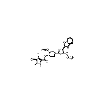 CO[C@H]1CN(c2nc(-c3nc4ccccc4s3)c(OC(=O)O)s2)CC[C@H]1NC(=O)c1[nH]c(C)c(Cl)c1Cl